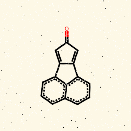 O=C1C=C2C(=C1)c1cccc3cccc2c13